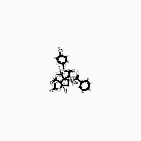 CC(C)(C)[C@]1(O)C[C@@H]2OC(=O)C[C@@]23C(=O)O[C@@H]2N(c4ccc(C#N)cc4)C(=O)[C@H](OC(=O)c4ccccc4)C213